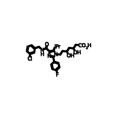 CC(C)c1c(C(=O)NCc2cccc(Cl)c2)nc(-c2ccc(F)cc2)n1CCC(O)CC(O)CC(=O)O